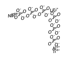 O=P([O-])([O-])[O-].O=P([O-])([O-])[O-].O=P([O-])([O-])[O-].O=P([O-])([O-])[O-].O=P([O-])([O-])[O-].O=P([O-])([O-])[O-].[Al+3].[Li+].[Li+].[Nb+5].[Ti+4].[Ti+4]